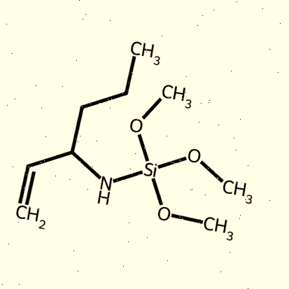 C=CC(CCC)N[Si](OC)(OC)OC